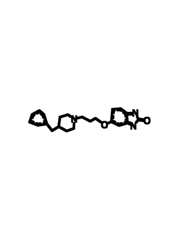 O=C1N=c2ccc(OCCCN3CCC(Cc4ccccc4)CC3)cc2=N1